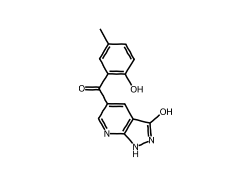 Cc1ccc(O)c(C(=O)c2cnc3[nH]nc(O)c3c2)c1